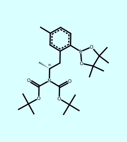 Cc1ccc(B2OC(C)(C)C(C)(C)O2)c(C[C@@H](C)N(C(=O)OC(C)(C)C)C(=O)OC(C)(C)C)c1